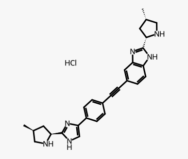 C[C@@H]1CN[C@H](c2nc(-c3ccc(C#Cc4ccc5[nH]c([C@@H]6C[C@H](C)CN6)nc5c4)cc3)c[nH]2)C1.Cl